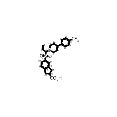 C=CC(N1CC=C(c2ccc(C(F)(F)F)cc2)CC1)S(=O)(=O)c1ccc2c(c1)CC(C(=O)O)C2